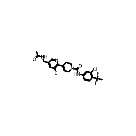 CC(=O)NCc1cnc(C2=CCN(C(=O)Nc3ccc(C(F)(F)F)c(Cl)c3)CC2)c(Cl)c1